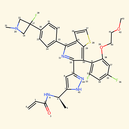 C=CC(=O)N[C@H](C)c1cc(-c2nc(-c3ccc(C4(F)CN(C)C4)cc3)c3ccsc3c2-c2c(F)cc(F)cc2OCCOC)n[nH]1